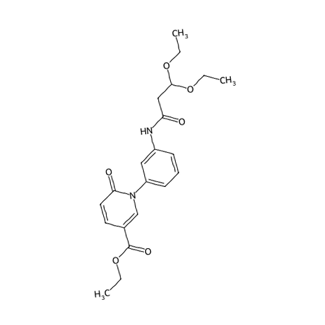 CCOC(=O)c1ccc(=O)n(-c2cccc(NC(=O)CC(OCC)OCC)c2)c1